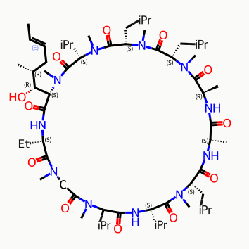 C/C=C/C[C@@H](C)[C@@H](O)[C@H]1C(=O)N[C@@H](CC)C(=O)N(C)CC(=O)N(C)C(C(C)C)C(=O)N[C@@H](C(C)C)C(=O)N(C)[C@@H](CC(C)C)C(=O)N[C@@H](C)C(=O)N[C@H](C)C(=O)N(C)[C@@H](CC(C)C)C(=O)N(C)[C@@H](CC(C)C)C(=O)N(C)[C@@H](C(C)C)C(=O)N1C